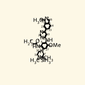 C=CC(=O)Nc1cc(Nc2cc(-c3ccc4cnn(C)c4c3)ncn2)c(OC)cc1N1CCN(C)[C@@](C)([SiH3])C1